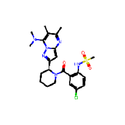 Cc1nc2cc([C@@H]3CCCCN3C(=O)c3cc(Cl)ccc3NS(C)(=O)=O)nn2c(N(C)C)c1C